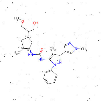 COCC(CO)[C@H]1C[C@@H](C)[C@H](NC(=O)Nc2c(C)c(-c3cnn(C)c3)nn2-c2ccccc2)C1